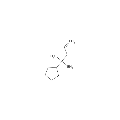 BC(C)(CC=C)C1CCCC1